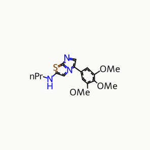 CCCNc1cn2c(-c3cc(OC)c(OC)c(OC)c3)cnc2s1